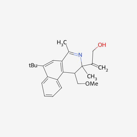 C=C(CO)C1(C)N=C(C)c2cc(C(C)(C)C)c3ccccc3c2C1COC